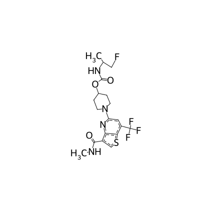 CNC(=O)c1csc2c(C(F)(F)F)cc(N3CCC(OC(=O)NC(C)CF)CC3)nc12